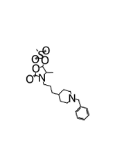 CC1C(OS(C)(=O)=O)OC(=O)N1CCCC1CCN(Cc2ccccc2)CC1